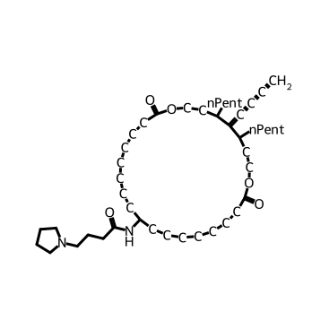 C=C=C=C=C1C(CCCCC)CCOC(=O)CCCCCCCC(NC(=O)CCCN2CCCC2)CCCCCCCC(=O)OCCC1CCCCC